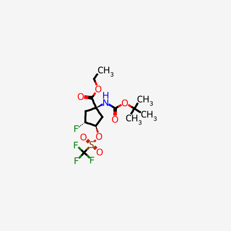 CCOC(=O)[C@@]1(NC(=O)OC(C)(C)C)C[C@@H](F)[C@H](OS(=O)(=O)C(F)(F)F)C1